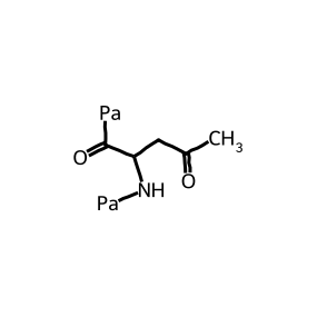 CC(=O)CC([NH][Pa])[C](=O)[Pa]